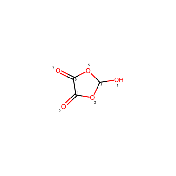 O=C1OC(O)OC1=O